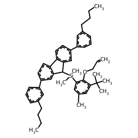 C=CCOc1c(C(C)(C)C)cc(C)cc1[Si](C)(C)C1c2cc(-c3cccc(CCCC)c3)ccc2-c2ccc(-c3cccc(CCCC)c3)cc21